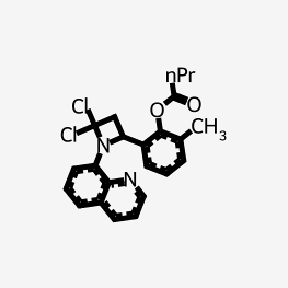 CCCC(=O)Oc1c(C)cccc1C1CC(Cl)(Cl)N1c1cccc2cccnc12